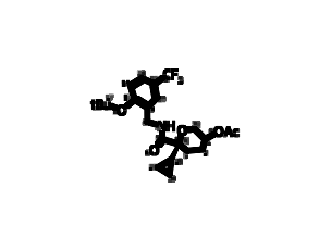 CC(=O)OC1CC[C@@](C(=O)NCc2cc(C(F)(F)F)ccc2OC(C)(C)C)(C2CC2)OC1